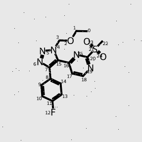 CCOCn1nnc(-c2ccc(F)cc2)c1-c1ccnc(S(C)(=O)=O)n1